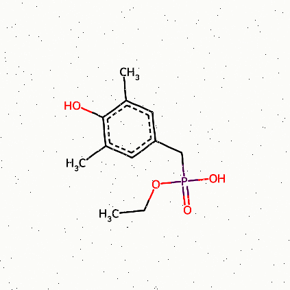 CCOP(=O)(O)Cc1cc(C)c(O)c(C)c1